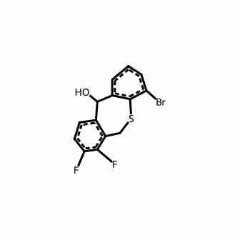 OC1c2ccc(F)c(F)c2CSc2c(Br)cccc21